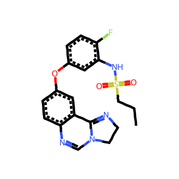 CCCS(=O)(=O)Nc1cc(Oc2ccc3c(c2)C2=NCCN2C=N3)ccc1F